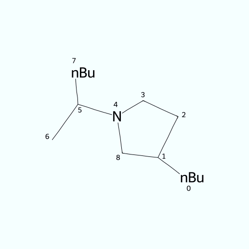 CCCCC1CCN(C(C)CCCC)C1